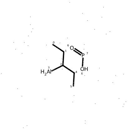 CC[CH]([AlH2])CC.O=PO